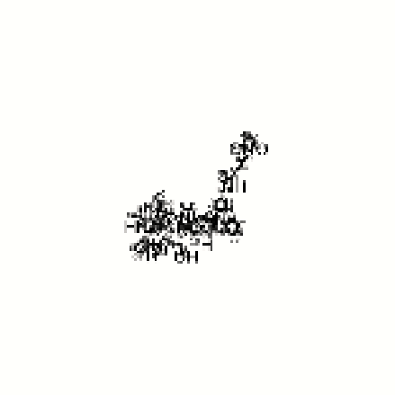 CC[C@H](C)[C@@H]([C@@H](CC(=O)N1CCC[C@H]1[C@H](OC)[C@@H](C)C(=O)N[C@@H](Cc1ccccc1)C(=O)Nc1ccc(CNC(=O)CCCCCN2C(=O)C=CC2=O)cc1)OC)N(C)C(=O)[C@@H](NC(=O)[C@@H]1C2CC[C@@H](C2)N1C(=O)CCCCCO)C(C)C